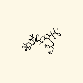 CC(C)(C(=O)O)c1cc2cc(NC(=O)C3(c4ccc5c(c4)OC(F)(F)O5)CC3)c(F)cc2n1C[C@@H](O)CO